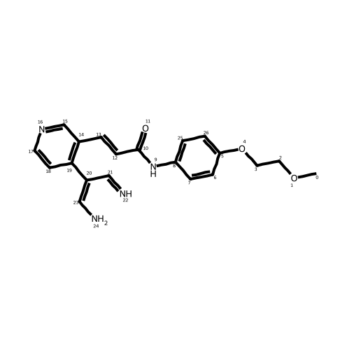 COCCOc1ccc(NC(=O)/C=C/c2cnccc2/C(C=N)=C/N)cc1